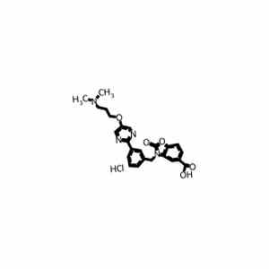 CN(C)CCCOc1cnc(-c2cccc(Cn3c(=O)oc4ccc(C(=O)O)cc43)c2)nc1.Cl